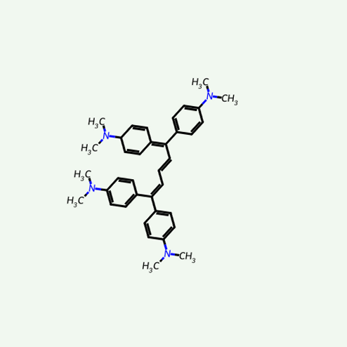 CN(C)c1ccc(C(=CC=CC(=C2C=CC(N(C)C)C=C2)c2ccc(N(C)C)cc2)c2ccc(N(C)C)cc2)cc1